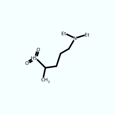 CCN(CC)CCCC(C)[SH](=O)=O